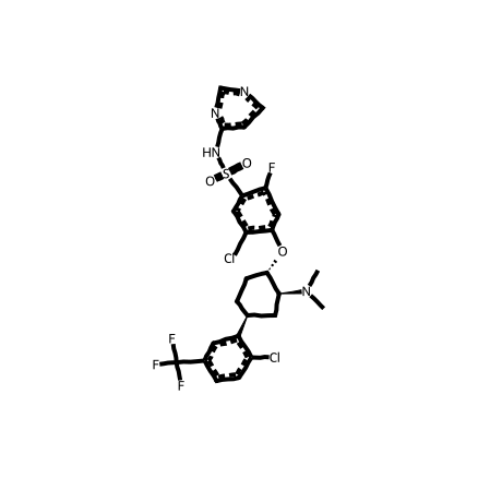 CN(C)[C@H]1C[C@@H](c2cc(C(F)(F)F)ccc2Cl)CC[C@@H]1Oc1cc(F)c(S(=O)(=O)Nc2ccncn2)cc1Cl